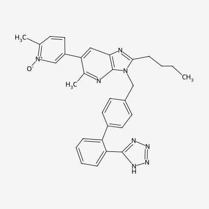 CCCCc1nc2cc(-c3ccc(C)[n+]([O-])c3)c(C)nc2n1Cc1ccc(-c2ccccc2-c2nnn[nH]2)cc1